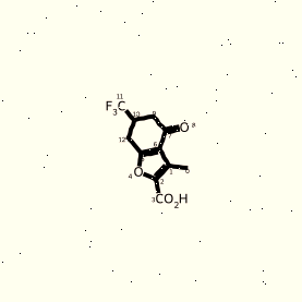 Cc1c(C(=O)O)oc2c1C(=O)CC(C(F)(F)F)C2